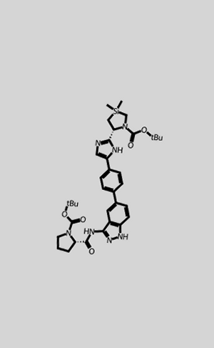 CC(C)(C)OC(=O)N1CCC[C@H]1C(=O)Nc1n[nH]c2ccc(-c3ccc(-c4cnc([C@@H]5C[Si](C)(C)CN5C(=O)OC(C)(C)C)[nH]4)cc3)cc12